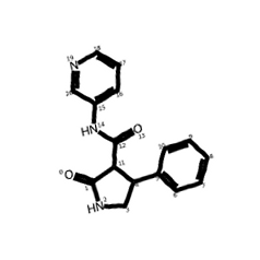 O=C1NCC(c2ccccc2)C1C(=O)Nc1cccnc1